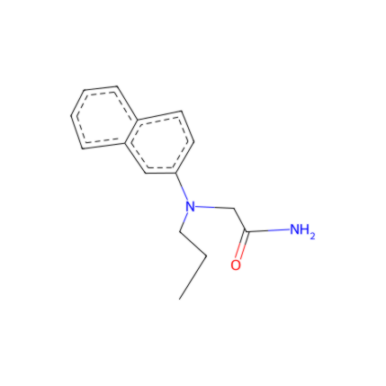 CCCN(CC(N)=O)c1ccc2ccccc2c1